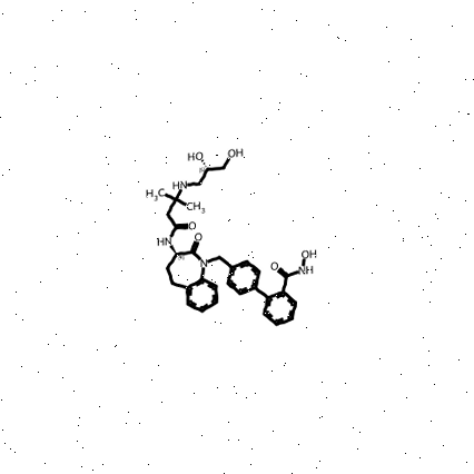 CC(C)(CC(=O)N[C@@H]1CCc2ccccc2N(Cc2ccc(-c3ccccc3C(=O)NO)cc2)C1=O)NC[C@H](O)CO